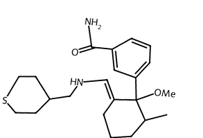 COC1(c2cccc(C(N)=O)c2)/C(=C/NCC2CCSCC2)CCCC1C